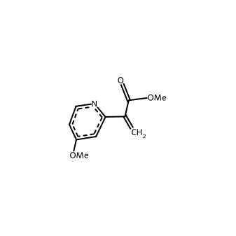 C=C(C(=O)OC)c1cc(OC)ccn1